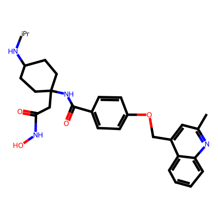 Cc1cc(COc2ccc(C(=O)NC3(CC(=O)NO)CCC(NC(C)C)CC3)cc2)c2ccccc2n1